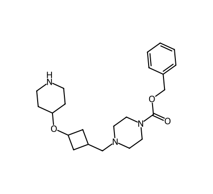 O=C(OCc1ccccc1)N1CCN(CC2CC(OC3CCNCC3)C2)CC1